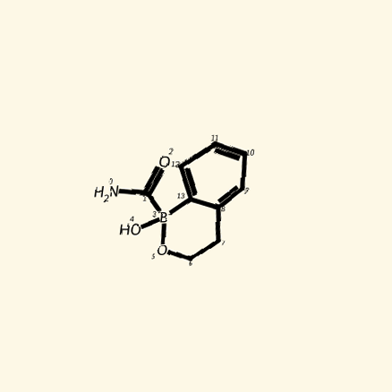 NC(=O)[B-]1(O)OCCc2cc[c]cc21